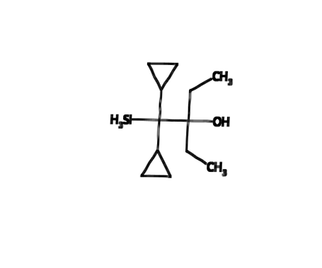 CCC(O)(CC)C([SiH3])(C1CC1)C1CC1